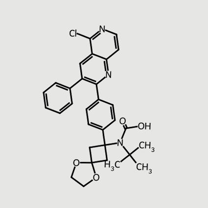 CC(C)(C)N(C(=O)O)C1(c2ccc(-c3nc4ccnc(Cl)c4cc3-c3ccccc3)cc2)CC2(C1)OCCO2